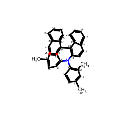 Cc1ccc(N(c2ccc(C)cc2C)c2ccc3ccccc3c2-c2cccc3ccccc23)cc1